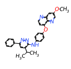 COc1cnc2c(Oc3ccc(Nc4nnc(-c5ccccc5)cc4C(C)C)cc3)ccnc2c1